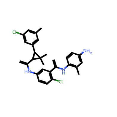 C=C(Nc1ccc(N)cc1C)c1cc(NC(=C)C2C(c3cc(C)cc(Cl)c3)C2(C)C)ccc1Cl